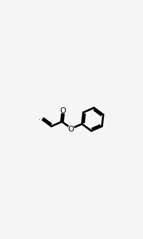 [CH]=CC(=O)Oc1ccccc1